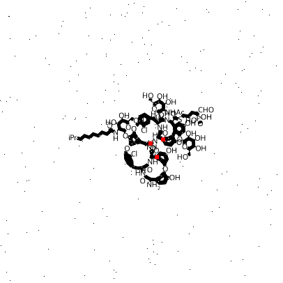 CC(=O)N[C@H]1[C@H](O[C@@H]2c3ccc(c(Cl)c3)Oc3cc4cc(c3O[C@@H]3O[C@H](CO)[C@@H](O)[C@H](O)[C@H]3NC(=O)CCCCCCCC(C)C)Oc3ccc(cc3Cl)C[C@H]3NC(=O)[C@H](N)c5ccc(O)c(c5)Oc5cc(O)cc(c5)[C@H](NC3=O)C(=O)N[C@H]4C(=O)N[C@H]3C(=O)N[C@@H]2C(=O)N[C@@H](C(=O)SCCCC(C=O)P(=O)(O)O)c2cc(O)cc(O[C@H]4O[C@H](CO)[C@@H](O)[C@H](O)[C@@H]4O)c2-c2cc3ccc2O)O[C@H](CO)[C@@H](O)[C@@H]1O